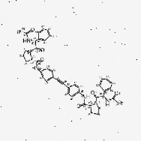 CC(C)C(=O)N[C@@H](C(=O)N1CCC[C@H]1C(=O)Nc1ccc(C#Cc2ccc(NC(=O)[C@@H]3CCCN3C(=O)[C@H](NC(=O)C(C)C)c3ccccc3)cc2)cc1)c1ccccc1